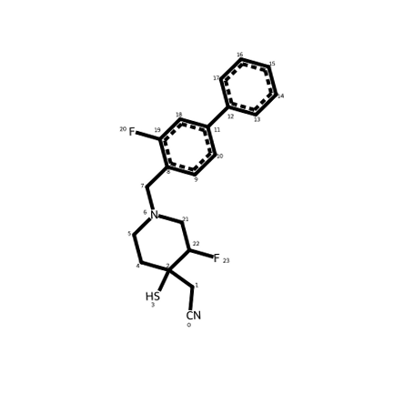 N#CCC1(S)CCN(Cc2ccc(-c3ccccc3)cc2F)CC1F